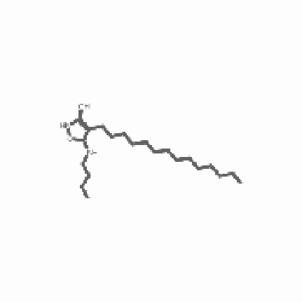 CCCCCCCCCCCCCCC1=C(O)NOC1NCCCC